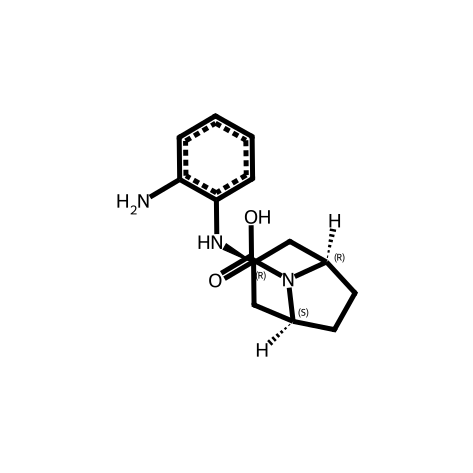 Nc1ccccc1N[C@H]1C[C@H]2CC[C@@H](C1)N2C(=O)O